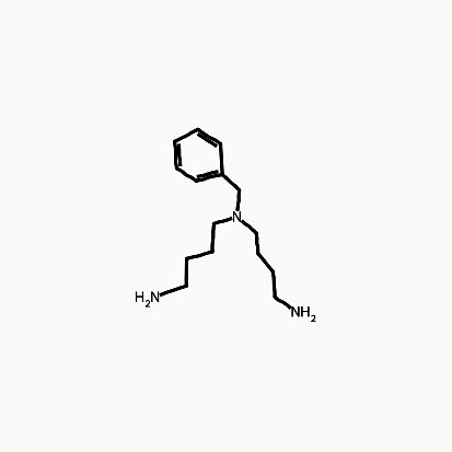 NCCCCN(CCCCN)Cc1ccccc1